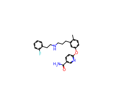 Cc1ccc(Oc2ccc(C(N)=O)cn2)cc1CCCNCCc1ccccc1F